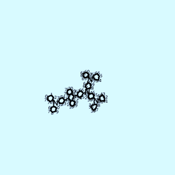 c1ccc(N(c2ccccc2)c2ccc(-c3c4ccccc4c(-c4ccc(N(c5ccc(N(c6ccccc6)c6ccccc6)cc5)c5ccc(N(c6ccccc6)c6ccccc6)cc5)cc4)c4ccccc34)cc2)cc1